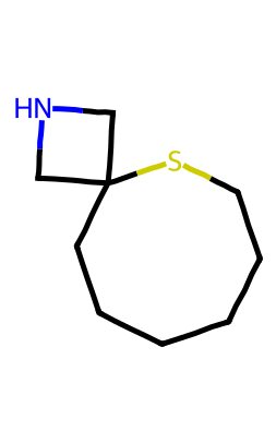 C1CCCC2(CNC2)SCC1